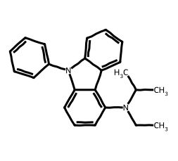 CCN(c1cccc2c1c1ccccc1n2-c1ccccc1)C(C)C